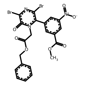 COC(=O)c1cc(-c2c(Br)nc(Br)c(=O)n2CC(=O)OCc2ccccc2)cc([N+](=O)[O-])c1